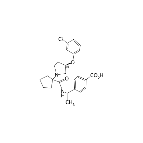 CC(NC(=O)C1(N2CC[C@@H](Oc3cccc(Cl)c3)C2)CCCC1)c1ccc(C(=O)O)cc1